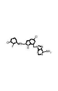 Nc1ncnc2c1ncn2Cc1cc(Cl)cc2cc(CNCc3cccc(Cl)c3F)[nH]c12